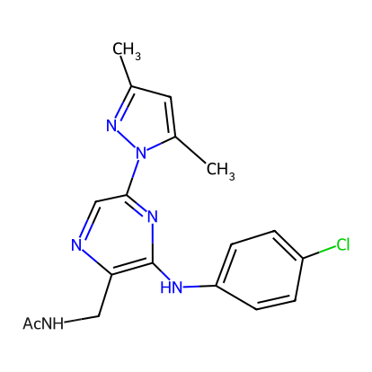 CC(=O)NCc1ncc(-n2nc(C)cc2C)nc1Nc1ccc(Cl)cc1